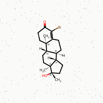 C[C@]12CCC(=O)C(Br)=C1CC[C@@H]1[C@@H]2CC[C@@]2(C)[C@H]1CC[C@]2(C)O